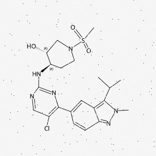 CC(C)c1c2cc(-c3nc(N[C@@H]4CCN(S(C)(=O)=O)C[C@H]4O)ncc3Cl)ccc2nn1C